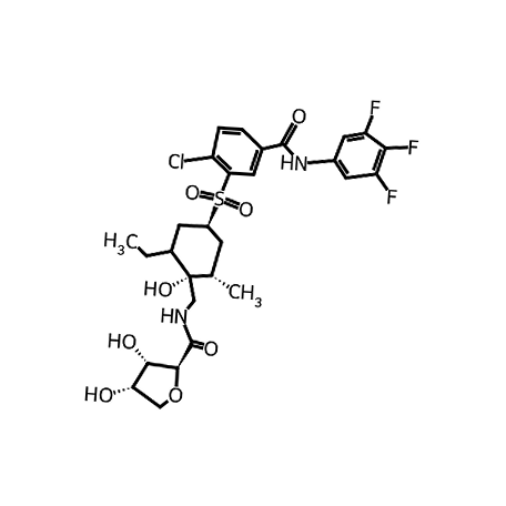 CCC1C[C@@H](S(=O)(=O)c2cc(C(=O)Nc3cc(F)c(F)c(F)c3)ccc2Cl)C[C@H](C)[C@@]1(O)CNC(=O)[C@H]1OC[C@H](O)[C@@H]1O